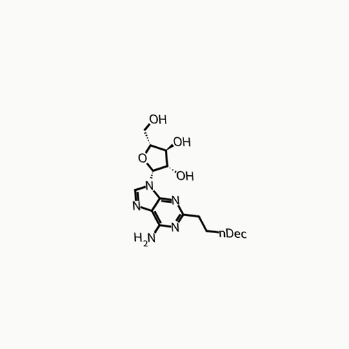 CCCCCCCCCCCCc1nc(N)c2ncn([C@@H]3O[C@H](CO)[C@@H](O)[C@@H]3O)c2n1